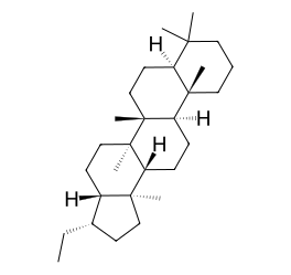 CC[C@H]1CC[C@]2(C)[C@H]3CC[C@@H]4[C@@]5(C)CCCC(C)(C)[C@@H]5CC[C@@]4(C)[C@]3(C)CC[C@@H]12